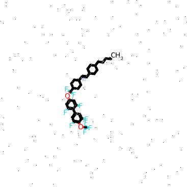 C=CCCCC1CCC(/C=C/C2CCC(C(F)(F)Oc3cc(F)c(-c4cc(F)c(OC(F)(F)F)c(F)c4)c(F)c3)CC2)CC1